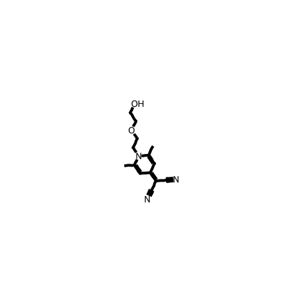 CC1=CC(=C(C#N)C#N)C=C(C)N1CCOCCO